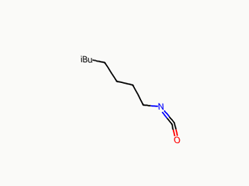 CCC(C)CCCCN=C=O